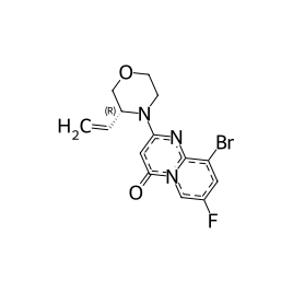 C=C[C@@H]1COCCN1c1cc(=O)n2cc(F)cc(Br)c2n1